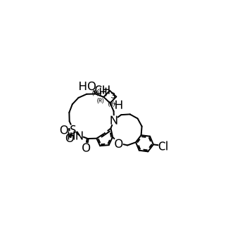 C[C@@]1(O)CCCCCS(=O)(=O)NC(=O)c2ccc3c(c2)N(CCCCc2cc(Cl)ccc2CO3)C[C@@H]2CC[C@H]21